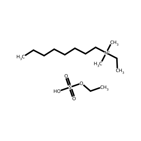 CCCCCCCC[N+](C)(C)CC.CCOS(=O)(=O)O